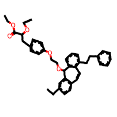 CCOC(=O)C(Cc1ccc(OCCOC2c3cc(CC)ccc3C=Cc3c(CCc4ccccc4)cccc32)cc1)OCC